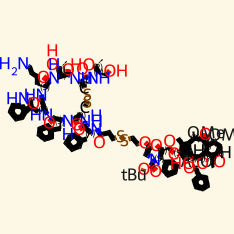 CO[C@H]1C(=O)[C@]2(C)[C@@H](OC)C[C@H]3OC[C@@]3(OC(C)=O)[C@H]2[C@H](OC(=O)c2ccccc2)[C@]2(O)C[C@H](OC(=O)[C@@H]3OC(OCCSSCCC(=O)N[C@H](Cc4ccccc4)C(=O)N[C@H]4CSSC[C@@H](C(=O)N[C@H](CO)[C@@H](C)O)NC(=O)[C@H]([C@@H](C)O)NC(=O)[C@H](CCCCN)NC(=O)[C@@H](Cc5c[nH]c6ccccc56)NC(=O)[C@H](Cc5ccccc5)NC4=O)=CN(C(=O)OC(C)(C)C)[C@H]3c3ccccc3)C(C)=C1C2(C)C